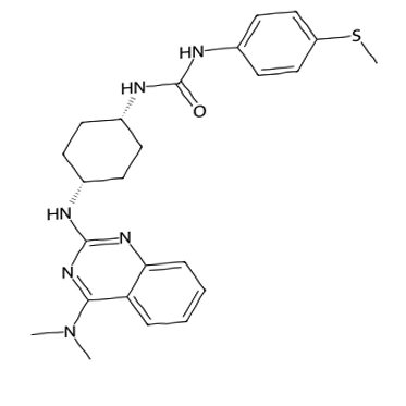 CSc1ccc(NC(=O)N[C@H]2CC[C@@H](Nc3nc(N(C)C)c4ccccc4n3)CC2)cc1